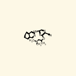 CC(CN(C)C)Oc1nc(Nc2cc3ccccc3cn2)cnc1C#N